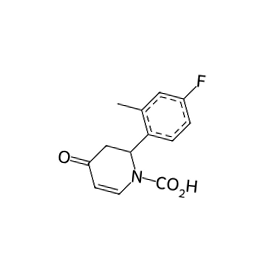 Cc1cc(F)ccc1C1CC(=O)C=CN1C(=O)O